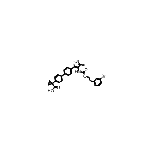 Cc1noc(-c2ccc(-c3ccc(C4(C(=O)O)CC4)cc3)cc2)c1NC(=O)OCCc1cccc(Br)c1